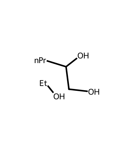 CCCC(O)CO.CCO